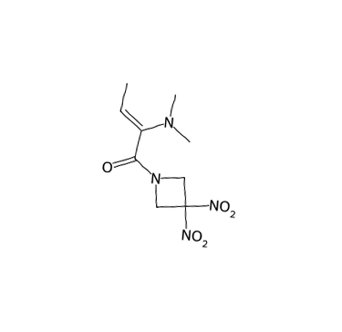 CC=C(C(=O)N1CC([N+](=O)[O-])([N+](=O)[O-])C1)N(C)C